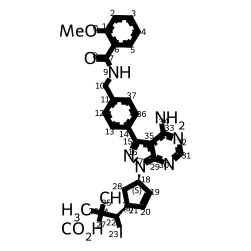 COc1ccccc1C(=O)NCc1ccc(-c2nn([C@@H]3C=C[C@@H](C(I)C(C)(C)C(=O)O)C3)c3ncnc(N)c23)cc1